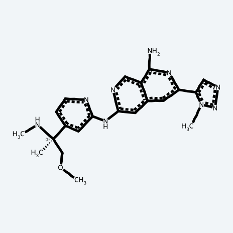 CN[C@](C)(COC)c1ccnc(Nc2cc3cc(-c4cnnn4C)nc(N)c3cn2)c1